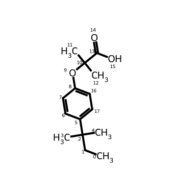 CCC(C)(C)c1ccc(OC(C)(C)C(=O)O)cc1